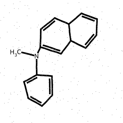 CN(C1=CC2C=CC=CC2C=C1)c1ccccc1